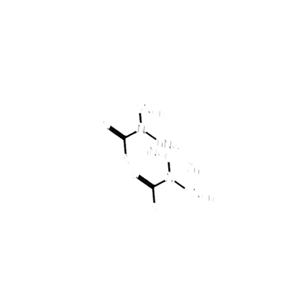 CCCCCCCCCN(CCCCCCCCC)C(=S)[S-].CCCCCCCCCN(CCCCCCCCC)C(=S)[S-].[Zn+2]